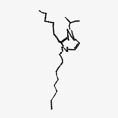 CCCCCCCCN1C=CN(C(C)C)C1CCCCC